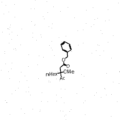 CCCCCCC(CC(=O)OCc1ccccc1)(OC)C(C)=O